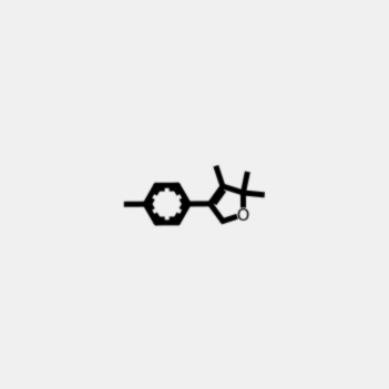 CC1=C(c2ccc(C)cc2)COC1(C)C